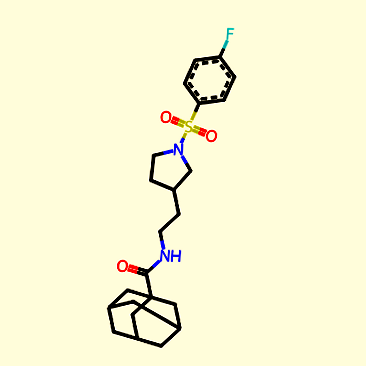 O=C(NCCC1CCN(S(=O)(=O)c2ccc(F)cc2)C1)C12CC3CC(CC(C3)C1)C2